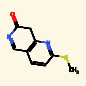 CSc1ccc2c(n1)CC(=O)N=C2